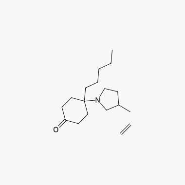 C=C.CCCCCC1(N2CCC(C)C2)CCC(=O)CC1